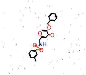 Cc1cccc(S(=O)(=O)NCc2cc(=O)c(OCc3ccccc3)co2)c1